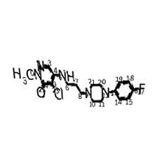 Cn1ncc(NCCCN2CCN(c3ccc(F)cc3)CC2)c(Cl)c1=O